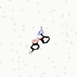 Oc1cc(Cl)ccc1Oc1ccccc1-c1nn[nH]n1